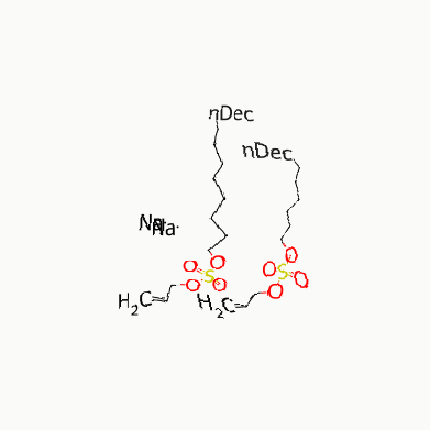 C=CCOS(=O)(=O)OCCCCCCCCCCCCCCCC.C=CCOS(=O)(=O)OCCCCCCCCCCCCCCCCCC.[Na].[Na]